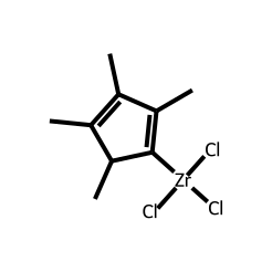 CC1=C(C)C(C)[C]([Zr]([Cl])([Cl])[Cl])=C1C